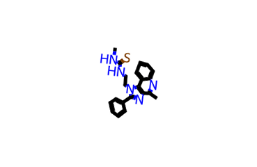 CNC(=S)NCCn1c(-c2ccccc2)nc2c(C)nc3ccccc3c21